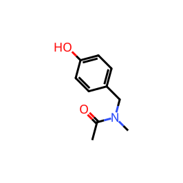 CC(=O)N(C)Cc1ccc(O)cc1